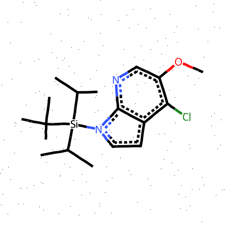 COc1cnc2c(ccn2[Si](C(C)C)(C(C)C)C(C)(C)C)c1Cl